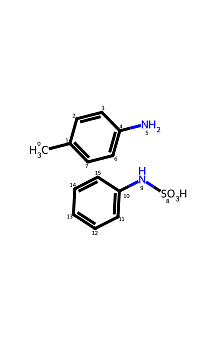 Cc1ccc(N)cc1.O=S(=O)(O)Nc1ccccc1